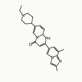 CCN1CCC(C2=CN3C(=O)C=C(c4cc(C)c5nc(C)cn5c4)PC3C=C2)CC1